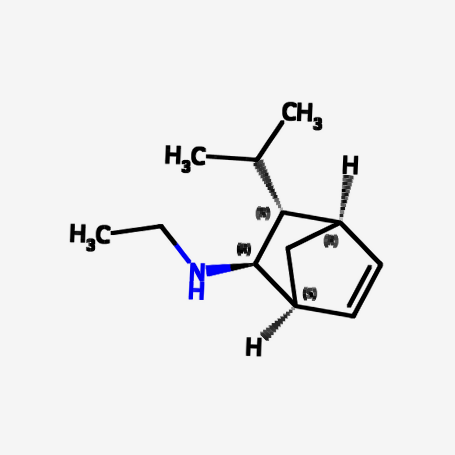 CCN[C@H]1[C@H](C(C)C)[C@H]2C=C[C@@H]1C2